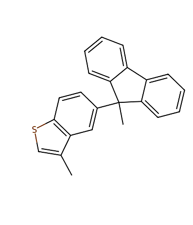 Cc1csc2ccc(C3(C)c4ccccc4-c4ccccc43)cc12